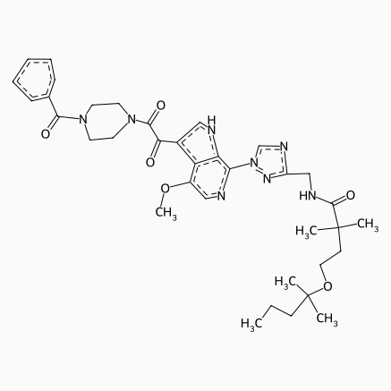 CCCC(C)(C)OCCC(C)(C)C(=O)NCc1ncn(-c2ncc(OC)c3c(C(=O)C(=O)N4CCN(C(=O)c5ccccc5)CC4)c[nH]c23)n1